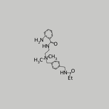 CCC(=O)NCc1ccc(C[N+](C)(C)CCNC(=O)c2ccccc2N)cc1